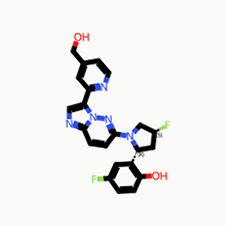 OCc1ccnc(-c2cnc3ccc(N4C[C@@H](F)C[C@@H]4c4cc(F)ccc4O)nn23)c1